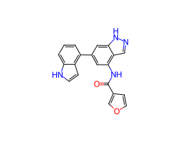 O=C(Nc1cc(-c2cccc3[nH]ccc23)cc2[nH]ncc12)c1ccoc1